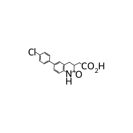 O=C(O)CC1Cc2cc(-c3ccc(Cl)cc3)ccc2NC1=O